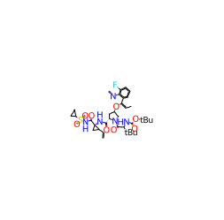 C=CC1C[C@]1(NC(=O)[C@@H]1C[C@@H](O/C(=C/C)c2cccc(F)c2N=C)CN1C(=O)[C@@H](NC(=O)OC(C)(C)C)C(C)(C)C)C(=O)NS(=O)(=O)C1CC1